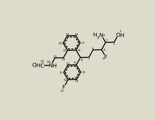 NC(CO)C(F)CCC(c1ccc(F)cc1)c1ccccc1CCNC=O